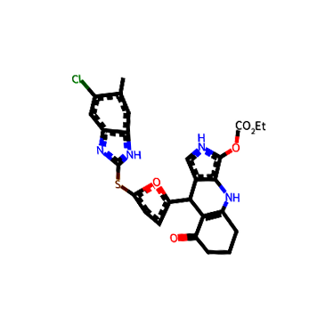 CCOC(=O)Oc1[nH]cc2c1NC1=C(C(=O)CCC1)C2c1ccc(Sc2nc3cc(Cl)c(C)cc3[nH]2)o1